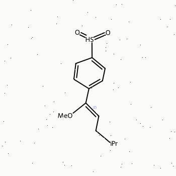 CO/C(=C\CC(C)C)c1ccc([SH](=O)=O)cc1